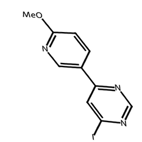 COc1ccc(-c2cc(I)ncn2)cn1